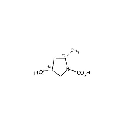 C[C@H]1C[C@@H](O)CN1C(=O)O